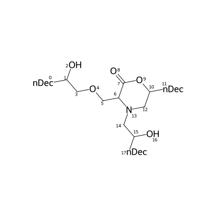 CCCCCCCCCCC(O)COCC1C(=O)OC(CCCCCCCCCC)CN1CC(O)CCCCCCCCCC